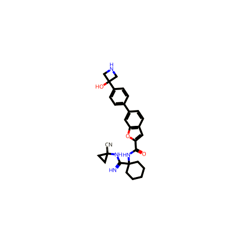 N#CC1(NC(=N)C2(NC(=O)c3cc4ccc(-c5ccc(C6(O)CNC6)cc5)cc4o3)CCCCC2)CC1